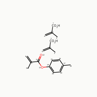 C=C(C)C(=O)O.C=C(C)C(=O)O.C=C(C)C(=O)Oc1ccc(C)cc1